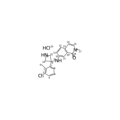 Cc1c(Cl)cccc1C1(Nc2ccc3ccn(C)c(=O)c3c2)CNC1.Cl